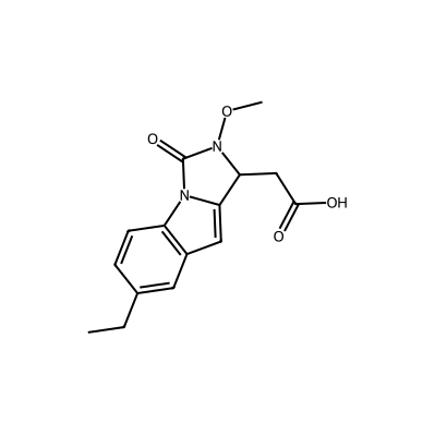 CCc1ccc2c(c1)cc1n2C(=O)N(OC)C1CC(=O)O